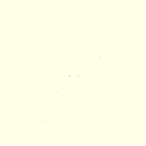 CCCCCCCCCCCCCCCCCCOc1ccc2c(-c3ccc4c(c3)C(CCCCCCCC)(CCCCCCCC)c3cc(C)ccc3-4)c3cc(CCCCCCCC)ccc3c(-c3ccc4c(c3)C(CCCCCCCC)(CCCCCCCC)c3cc(-c5ccc(-c6sc(-c7ccc(C)s7)c7c6C(=O)N(CCCCCCCCCCCC)C7=O)s5)ccc3-4)c2c1